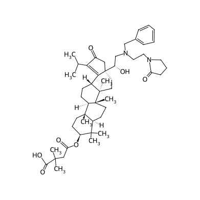 CC(C)C1=C2[C@H]3CC[C@@H]4[C@@]5(C)CC[C@H](OC(=O)CC(C)(C)C(=O)O)C(C)(C)[C@@H]5CC[C@@]4(C)[C@]3(C)CC[C@@]2([C@@H](O)CN(CCN2CCCC2=O)Cc2ccccc2)CC1=O